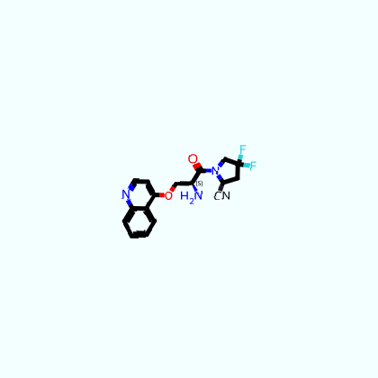 N#CC1CC(F)(F)CN1C(=O)[C@@H](N)COc1ccnc2ccccc12